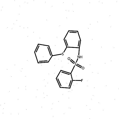 O=S(=O)(Nc1ccccc1Sc1ccccc1)c1ccccc1F